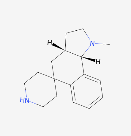 CN1CC[C@H]2CC3(CCNCC3)c3ccccc3[C@H]21